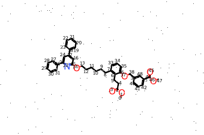 COC(=O)CCc1c(CCCCCCOc2cc(-c3ccccc3)cc(-c3ccccc3)n2)cccc1OCc1cccc(C(=O)OC)c1